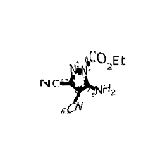 CCOC(=O)n1nc(C#N)c(C#N)c1N